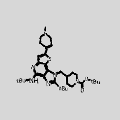 CCCCc1nc2c(NC(C)(C)C)nc3cc(C4CCN(C)CC4)sc3c2n1CC1CCN(C(=O)OC(C)(C)C)CC1